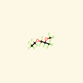 FC(F)(F)OC(F)(C(F)(F)F)C(F)(F)OC(F)(F)C(F)(F)F